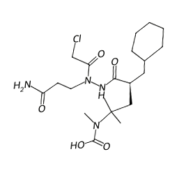 CN(C(=O)O)C(C)(C)C[C@H](CC1CCCCC1)C(=O)NN(CCC(N)=O)C(=O)CCl